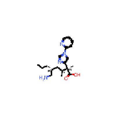 CCC[C@@H](CN)C[C@H](C)[C@](C)(C(=O)O)c1cn(-c2ccccn2)cn1